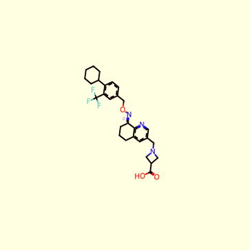 O=C(O)C1CN(Cc2cnc3c(c2)CCC/C3=N\OCc2ccc(C3CCCCC3)c(C(F)(F)F)c2)C1